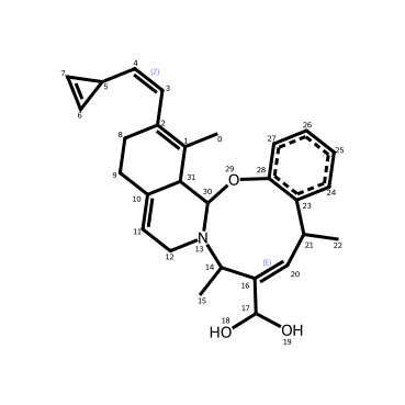 CC1=C(/C=C\C2C=C2)CCC2=CCN3C(C)/C(C(O)O)=C\C(C)c4ccccc4OC3C21